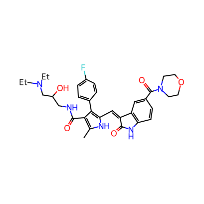 CCN(CC)CC(O)CNC(=O)c1c(C)[nH]c(/C=C2\C(=O)Nc3ccc(C(=O)N4CCOCC4)cc32)c1-c1ccc(F)cc1